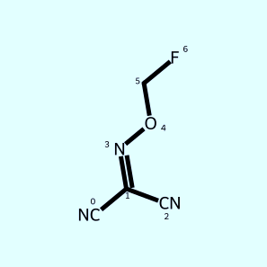 N#CC(C#N)=NOCF